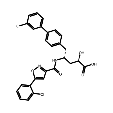 O=C(N[C@H](Cc1ccc(-c2cccc(Cl)c2)cc1)C[C@@H](O)C(=O)O)c1cc(-c2ccccc2Cl)on1